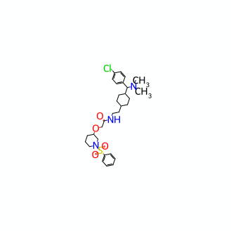 CN(C)C(c1ccc(Cl)cc1)C1CCC(CCNC(=O)COC2CCCN(S(=O)(=O)c3ccccc3)C2)CC1